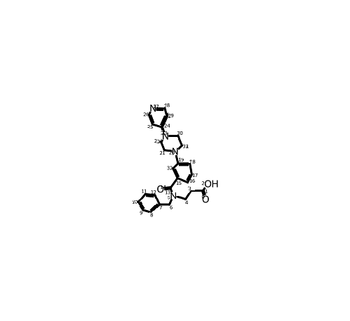 O=C(O)CCN(Cc1ccccc1)C(=O)c1cccc(N2CCN(c3ccncc3)CC2)c1